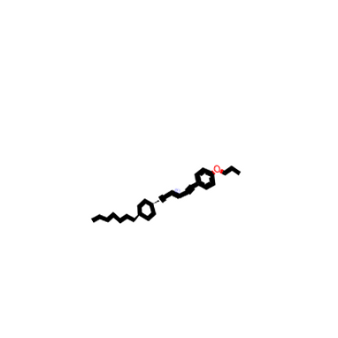 CCCCCCC[C@H]1CC[C@H](C#C/C=C/C#Cc2ccc(OCCC)cc2)CC1